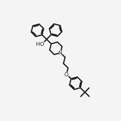 CC(C)(C)c1ccc(OCCCN2CCC(C(O)(c3ccccc3)c3ccccc3)CC2)cc1